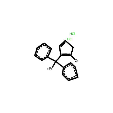 CCCC(C1=[C]([Zr])CC=C1)(c1ccccc1)c1ccccc1.Cl.Cl